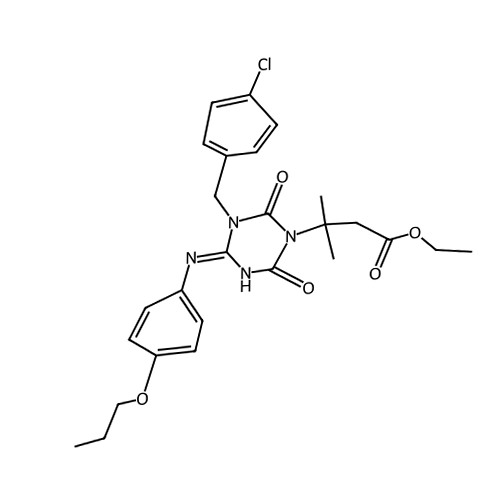 CCCOc1ccc(/N=c2\[nH]c(=O)n(C(C)(C)CC(=O)OCC)c(=O)n2Cc2ccc(Cl)cc2)cc1